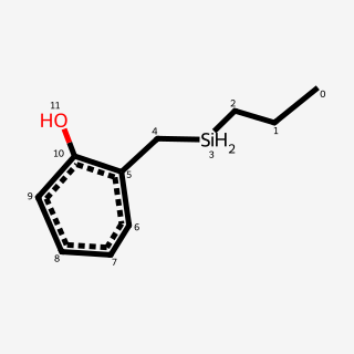 CCC[SiH2]Cc1ccccc1O